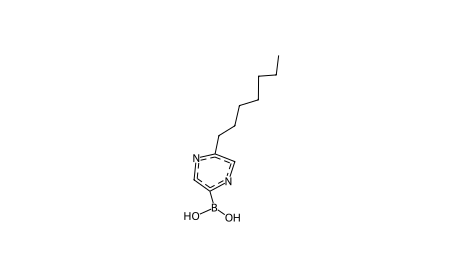 CCCCCCCc1cnc(B(O)O)cn1